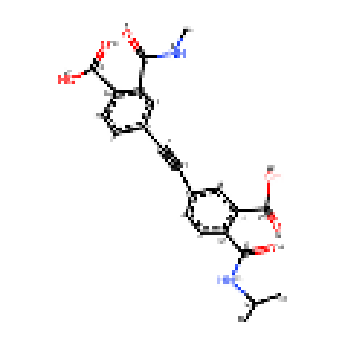 CNC(=O)c1cc(C#Cc2ccc(C(=O)NC(C)C)c(C(=O)O)c2)ccc1C(=O)O